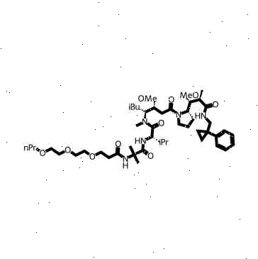 CCCOCCOCCOCCC(=O)NC(C)(C)C(=O)N[C@H](C(=O)N(C)[C@@H]([C@@H](C)CC)[C@@H](CC(=O)N1CCC[C@H]1[C@H](OC)[C@@H](C)C(=O)NCC1(c2ccccc2)CC1)OC)C(C)C